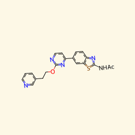 CC(=O)Nc1nc2ccc(-c3ccnc(OCCc4cccnc4)n3)cc2s1